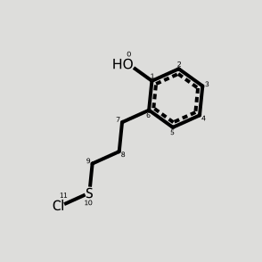 Oc1ccccc1CCCSCl